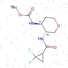 CC(C)(C)OC(=O)N[C@H]1CCOC[C@@H]1NC(=O)C1CC1(F)F